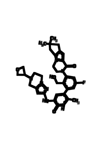 Cc1[nH]c(=O)c(Nc2cc3n(n2)CCN(C2COC2)C3)cc1-c1cc(F)cc(N2CCn3c(cc4c3CC(C)(C)C4)C2=O)c1CO